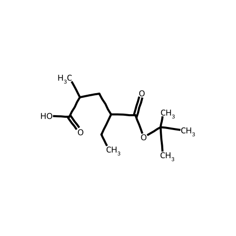 CCC(CC(C)C(=O)O)C(=O)OC(C)(C)C